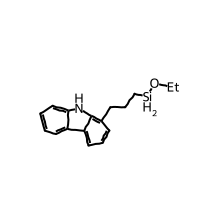 CCO[SiH2]CCCc1cccc2c1[nH]c1ccccc12